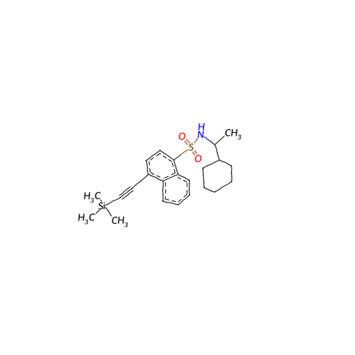 CC(NS(=O)(=O)c1ccc(C#C[Si](C)(C)C)c2ccccc12)C1CCCCC1